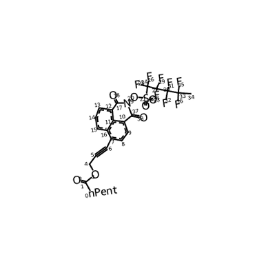 CCCCCC(=O)OCC#Cc1ccc2c3c(cccc13)C(=O)N(OS(=O)(=O)C(F)(F)C(F)(F)C(F)(F)C(C)(F)F)C2=O